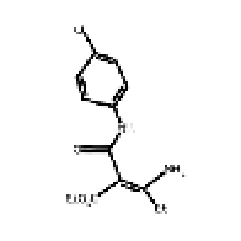 CCOC(=O)C(C(=O)Nc1ccc(Cl)cc1)=C(N)CC